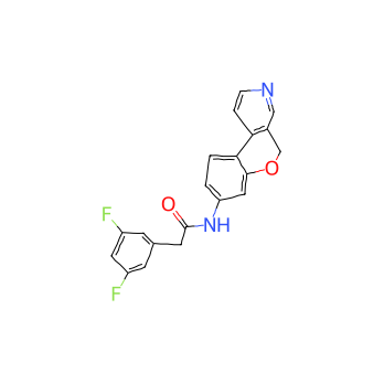 O=C(Cc1cc(F)cc(F)c1)Nc1ccc2c(c1)OCc1cnccc1-2